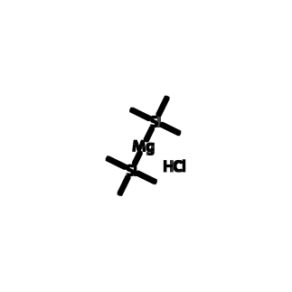 C[Si](C)(C)[Mg][Si](C)(C)C.Cl